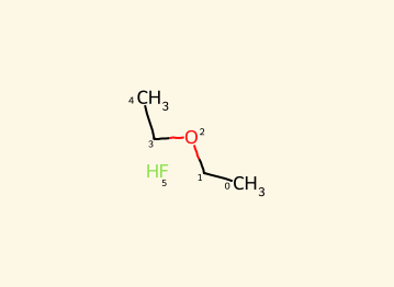 CCOCC.F